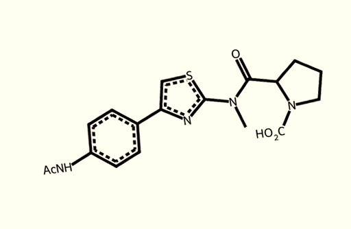 CC(=O)Nc1ccc(-c2csc(N(C)C(=O)C3CCCN3C(=O)O)n2)cc1